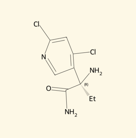 CC[C@](N)(C(N)=O)c1cnc(Cl)cc1Cl